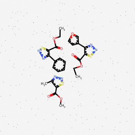 CCOC(=O)c1snnc1-c1ccccc1.CCOC(=O)c1snnc1-c1ccoc1.COC(=O)c1snnc1C